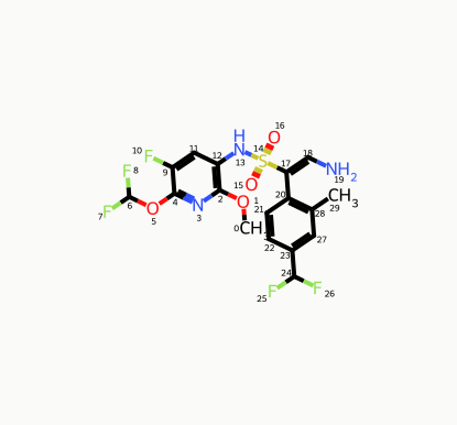 COc1nc(OC(F)F)c(F)cc1NS(=O)(=O)/C(=C/N)c1ccc(C(F)F)cc1C